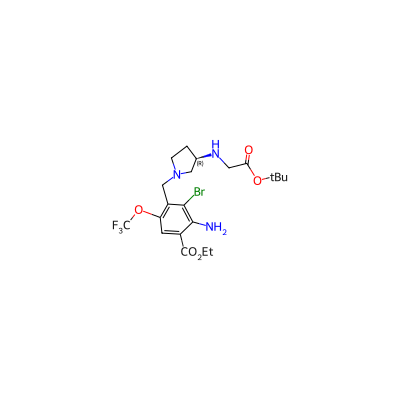 CCOC(=O)c1cc(OC(F)(F)F)c(CN2CC[C@@H](NCC(=O)OC(C)(C)C)C2)c(Br)c1N